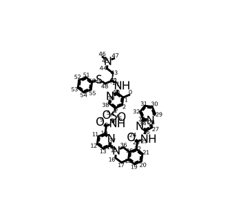 Cc1cc(S(=O)(=O)NC(=O)c2cccc(N3CCc4cccc(C(=O)Nc5cn6ccccc6n5)c4C3)n2)cnc1N[C@H](CCN(C)C)CSc1ccccc1